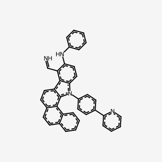 N=Cc1c(Nc2ccccc2)ccc2c1c1ccc3ccc4ccccc4c3c1n2-c1ccc(-c2ccccn2)cc1